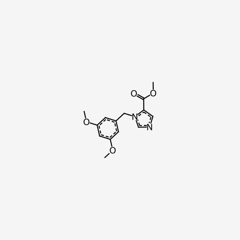 COC(=O)c1cncn1Cc1cc(OC)cc(OC)c1